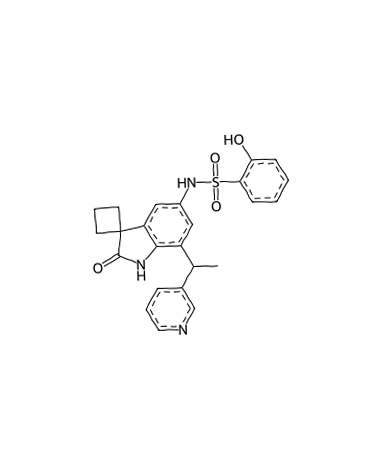 CC(c1cccnc1)c1cc(NS(=O)(=O)c2ccccc2O)cc2c1NC(=O)C21CCC1